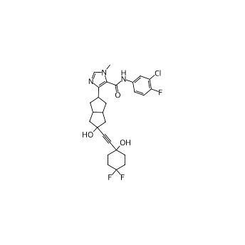 Cn1cnc(C2CC3CC(O)(C#CC4(O)CCC(F)(F)CC4)CC3C2)c1C(=O)Nc1ccc(F)c(Cl)c1